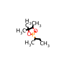 CCC(C)P1OC(C)C(C)(C)O1